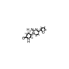 NC1N=C(c2ccco2)C=CN1c1ccc(=O)[nH]c1